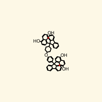 Oc1ccc2c(O)ccc(C3(c4ccc(OC5CCC(C6(c7ccc(O)c8ccc(O)cc78)c7ccccc7-c7ccccc76)CC5)cc4)c4ccccc4-c4ccccc43)c2c1